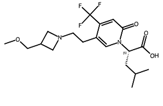 COCC1CN(CCc2cn([C@@H](CC(C)C)C(=O)O)c(=O)cc2C(F)(F)F)C1